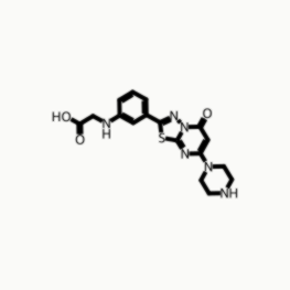 O=C(O)CNc1cccc(-c2nn3c(=O)cc(N4CCNCC4)nc3s2)c1